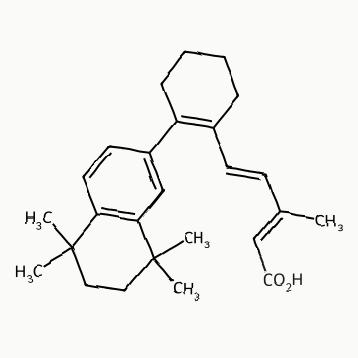 CC(C=CC1=C(c2ccc3c(c2)C(C)(C)CCC3(C)C)CCCC1)=CC(=O)O